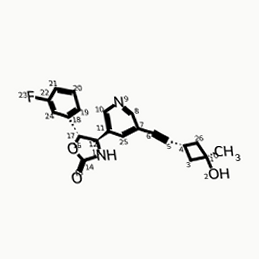 C[C@]1(O)C[C@H](C#Cc2cncc([C@H]3NC(=O)O[C@@H]3c3cccc(F)c3)c2)C1